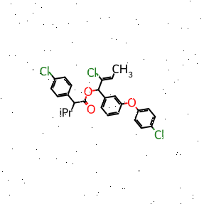 CC=C(Cl)C(OC(=O)C(c1ccc(Cl)cc1)C(C)C)c1cccc(Oc2ccc(Cl)cc2)c1